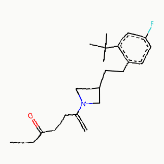 C=C(CCC(=O)CC)N1CC(CCc2ccc(F)cc2C(C)(C)C)C1